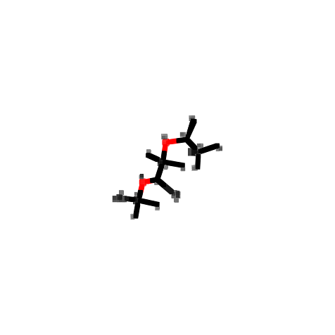 CCCC[Si](C)(C)OC(CC)[Si](C)(C)O[C@@H](C)[SiH](C)C